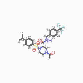 CC(=O)N1CCN(S(=O)(=O)c2ccc(C(C)C)cc2)[C@@H](C(=O)NCc2ccc(C(F)(F)F)cc2)C1